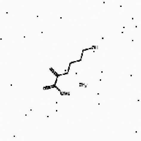 C=C(CCCCO)C(=O)OC.[CH3]